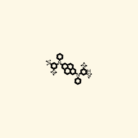 C[SiH](C)c1cc(N(c2ccccc2)c2cc3ccc4cc(N(c5ccccc5)c5cc([Si](C)(C)C)cc([Si](C)(C)C)c5)cc5ccc(c2)c3c45)cc([Si](C)(C)C)c1